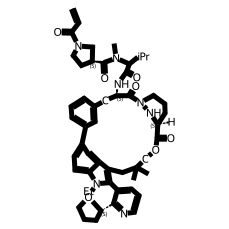 C=CC(=O)N1CC[C@H](C(=O)N(C)C(C(=O)N[C@H]2Cc3cccc(c3)-c3ccc4c(c3)c(c(-c3cccnc3[C@@H]3CCCO3)n4CC)CC(C)(C)COC(=O)[C@@H]3CCCN(N3)C2=O)C(C)C)C1